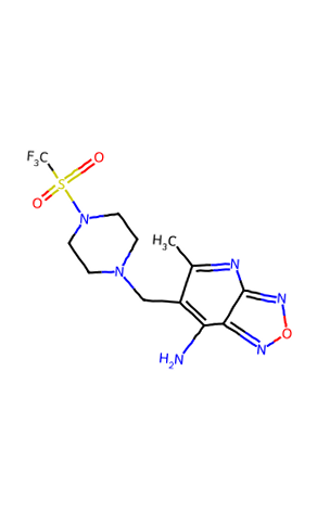 Cc1nc2nonc2c(N)c1CN1CCN(S(=O)(=O)C(F)(F)F)CC1